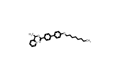 CCCCCCCCOc1ccc(-c2ccc(C(=O)OC(C)c3ccccn3)cc2)cc1